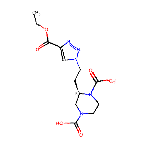 CCOC(=O)c1cn(CC[C@@H]2CN(C(=O)O)CCN2C(=O)O)nn1